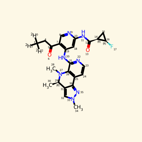 [2H]C([2H])([2H])CC(=O)c1cnc(NC(=O)[C@H]2C[C@H]2F)cc1Nc1nccc2c1N(C)[C@H](C)c1cn(C)nc1-2